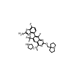 CN(c1nc(OCC23CCCN2CCC3)nc2c(F)c(-c3ccc(F)c4sc(N)nc34)c(C(F)(F)F)cc12)[C@@H]1CCNC1